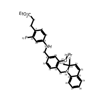 CCOC(=O)CCc1ccc(NCc2ccc(CN3c4ccccc4C=CC3(C)C)c(OC(C)C)c2)cc1F